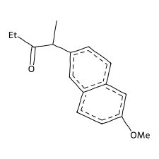 CCC(=O)C(C)c1ccc2cc(OC)ccc2c1